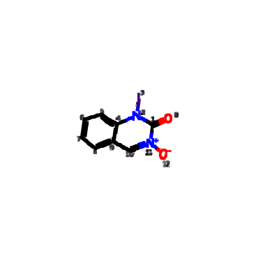 O=c1n(I)c2ccccc2c[n+]1[O-]